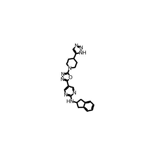 c1ccc2c(c1)CC(Nc1ncc(-c3nnc(N4CCC(c5cnn[nH]5)CC4)o3)cn1)C2